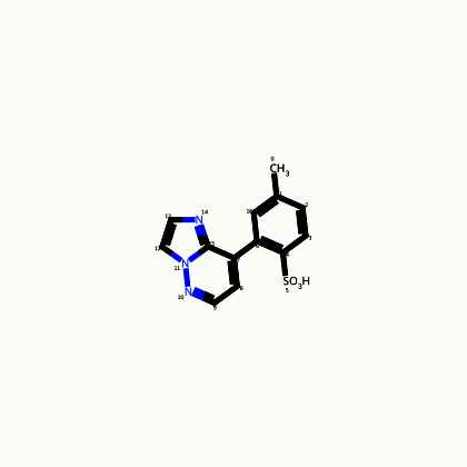 Cc1ccc(S(=O)(=O)O)c(-c2ccnn3ccnc23)c1